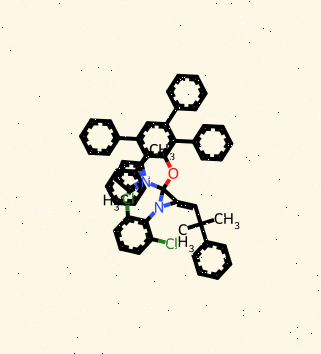 Cc1ccc(C)n1C1(Oc2c(-c3ccccc3)c(-c3ccccc3)cc(-c3ccccc3)c2-c2ccccc2)C(=CC(C)(C)c2ccccc2)N1c1c(Cl)cccc1Cl